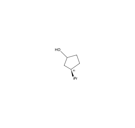 CC(C)[C@@H]1CCC(O)C1